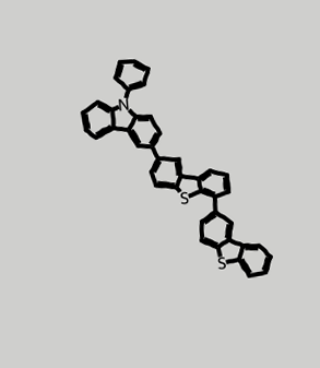 c1ccc(-n2c3ccccc3c3cc(-c4ccc5sc6c(-c7ccc8sc9ccccc9c8c7)cccc6c5c4)ccc32)cc1